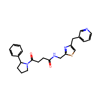 O=C(CCC(=O)N1CCCC1c1ccccc1)NCc1nc(Cc2cccnc2)cs1